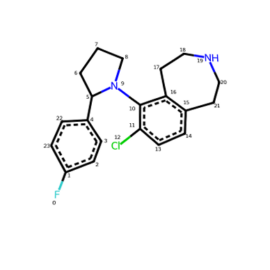 Fc1ccc(C2CCCN2c2c(Cl)ccc3c2CCNCC3)cc1